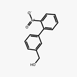 O=[N+]([O-])c1ccccc1-c1cccc(CO)c1